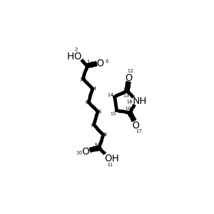 O=C(O)CCCCCCC(=O)O.O=C1CCC(=O)N1